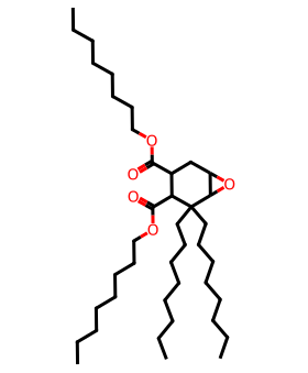 CCCCCCCCOC(=O)C1CC2OC2C(CCCCCCCC)(CCCCCCCC)C1C(=O)OCCCCCCCC